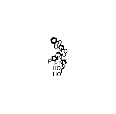 O=C(Nc1ccn(C[C@@H](O)CO)n1)C(C[C@@H]1C[C@@H](F)[C@@H](F)C1)N1CC(Oc2ccccc2Cl)=CC1=O